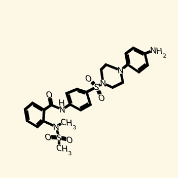 CN(c1ccccc1C(=O)Nc1ccc(S(=O)(=O)N2CCN(c3ccc(N)cc3)CC2)cc1)S(C)(=O)=O